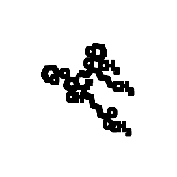 CCCCC(C)[C@H](C=C[C@@H]1[C@@H](C(F)C=CCCCC(=O)OC)[C@@H](O)C[C@H]1OC1CCCCO1)OC1CCCCO1